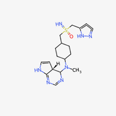 CN(C1CCC(CS(=N)(=O)CC2=C=C=NN2)CC1)C1N=CN=C2NC=C[C@@H]21